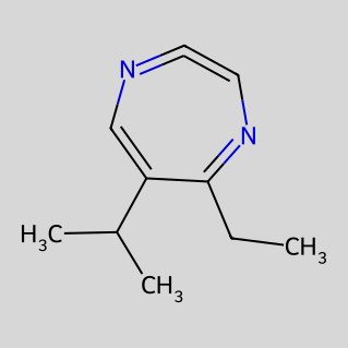 CCC1=NC=C=NC=C1C(C)C